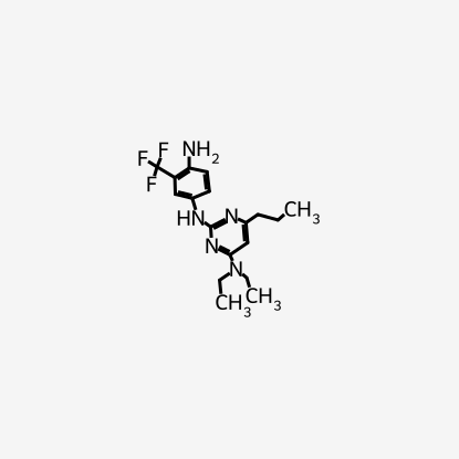 CCCc1cc(N(CC)CC)nc(Nc2ccc(N)c(C(F)(F)F)c2)n1